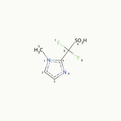 Cn1ccnc1C(F)(F)S(=O)(=O)O